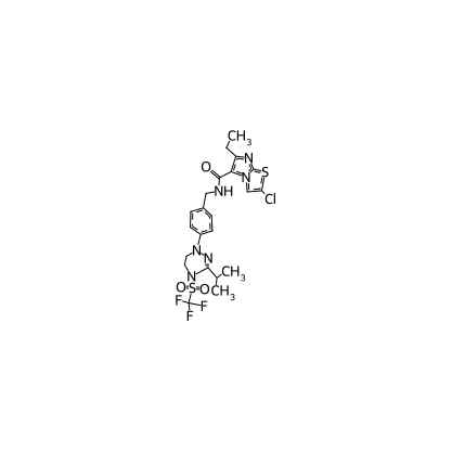 CCc1nc2sc(Cl)cn2c1C(=O)NCc1ccc(N2CCN(S(=O)(=O)C(F)(F)F)C(C(C)C)=N2)cc1